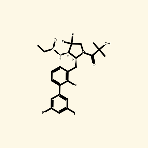 CC[S+]([O-])N[C@@H]1[C@H](Cc2cccc(-c3cc(F)cc(F)c3)c2F)N(C(=O)C(C)(C)O)CC1(F)F